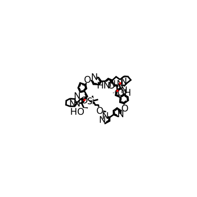 C[C@@H](O)C(=O)N1CC2CCC(C1)N2Cc1ccc2cc(Oc3ccc(-c4cc(CC5C6CCC(CN5C(=O)[C@@H](C)O)N6Cc5ccc6cc(Oc7ccc(-c8ccnn8COCC[Si](C)(C)C)cn7)ccc6n5)n[nH]4)cn3)ccc2n1